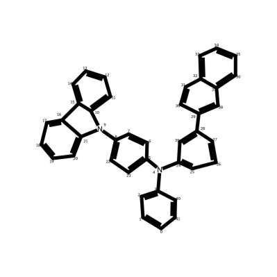 c1ccc(N(c2ccc(-n3c4ccccc4c4ccccc43)cc2)c2cccc(-c3ccc4ccccc4c3)c2)cc1